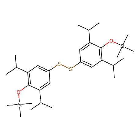 CC(C)c1cc(SSc2cc(C(C)C)c(O[Si](C)(C)C)c(C(C)C)c2)cc(C(C)C)c1O[Si](C)(C)C